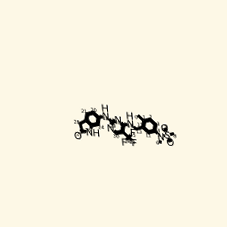 Cc1ccc(N(C)S(C)(=O)=O)cc1CNc1nc(Nc2ccc3c(c2)NC(=O)C3)ncc1C(F)(F)F